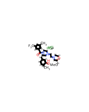 COC[C@@H]1CN(CCN2CCN(C(=O)c3cc(C)cc(C(F)(F)F)c3)[C@H](Cc3ccc(C)c(O)c3)C2)CCO1.Cl.Cl